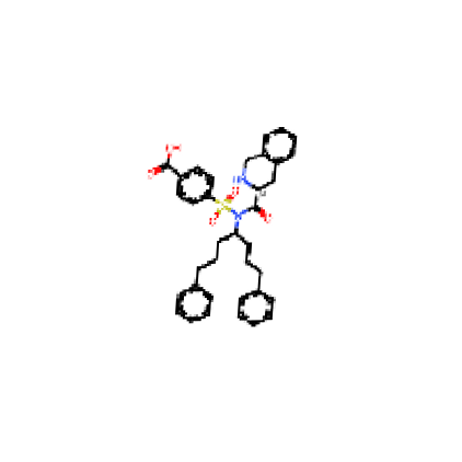 O=C(O)c1ccc(S(=O)(=O)N(C(=O)[C@@H]2Cc3ccccc3CN2)C(CCCc2ccccc2)CCCc2ccccc2)cc1